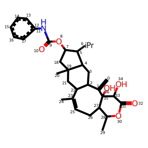 C=C1C2CC3C(C(C)C)C(OC(=O)Nc4ccccc4)CC3(C)CC2C(C)=CCC2C(C)OC(=O)C(O)C12O